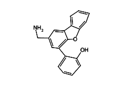 NCc1cc(-c2ccccc2O)c2oc3ccccc3c2c1